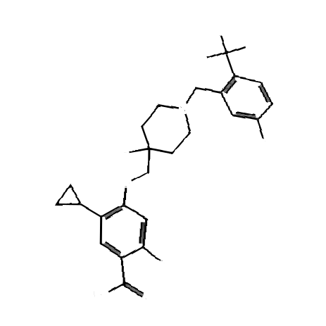 O=C(O)c1cc(C2CC2)c(OCC2(F)CCN(Cc3cc(Cl)ccc3C(F)(F)F)CC2)cc1F